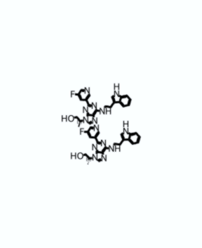 C[C@@H](CO)n1cnc2c(NCCc3c[nH]c4ccccc34)nc(-c3cncc(F)c3)nc21.C[C@H](CO)n1cnc2c(NCCc3c[nH]c4ccccc34)nc(-c3cncc(F)c3)nc21